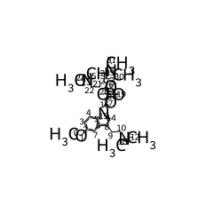 COc1ccc2c(c1)c(CCN(C)C)cn2COP(=O)(OCCN(C)C)OCCN(C)C